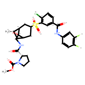 COC(=O)N1CCC[C@H]1C(=O)NC[C@@]1(O)C2CC(S(=O)(=O)c3cc(C(=O)Nc4ccc(F)c(F)c4)ccc3Cl)CC1[C@@H](C)C2